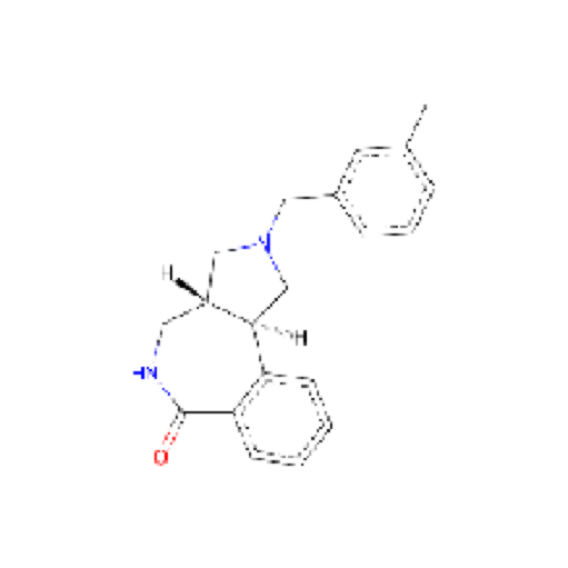 Cc1cccc(CN2C[C@H]3CNC(=O)c4ccccc4[C@@H]3C2)c1